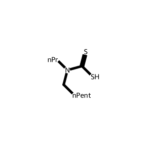 CCCCCCN(CCC)C(=S)S